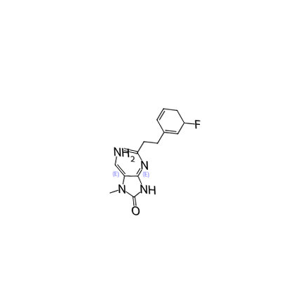 C=C(CCC1=CC(F)CC=C1)/N=C1/NC(=O)N(C)/C1=C/N